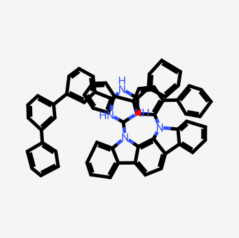 c1ccc(-c2cccc(-c3cccc(C4NC(c5ccccc5)NC(n5c6ccccc6c6ccc7c8ccccc8n(-c8cc(-c9ccccc9)ccc8-c8ccccc8)c7c65)N4)c3)c2)cc1